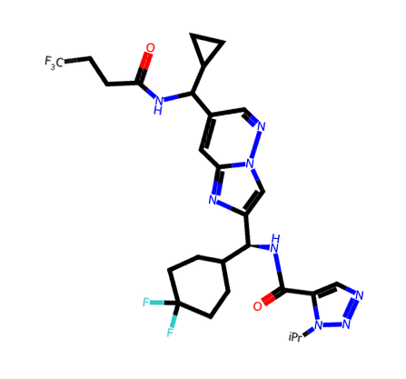 CC(C)n1nncc1C(=O)N[C@H](c1cn2ncc(C(NC(=O)CCC(F)(F)F)C3CC3)cc2n1)C1CCC(F)(F)CC1